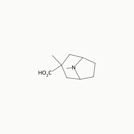 CN1C2CCC1CC(C)(C(=O)O)C2